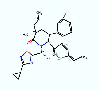 C=CC[C@@]1(C)CC(c2cccc(Cl)c2)[C@@H](C(=C)/C=C\C(Cl)=C/C)N([C@H](CC)c2nc(C3CC3)no2)C1=O